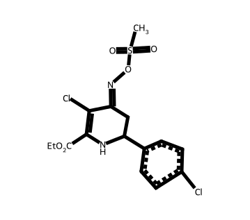 CCOC(=O)C1=C(Cl)/C(=N/OS(C)(=O)=O)CC(c2ccc(Cl)cc2)N1